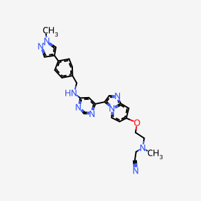 CN(CC#N)CCOc1ccn2c(-c3cc(NCc4ccc(-c5cnn(C)c5)cc4)ncn3)cnc2c1